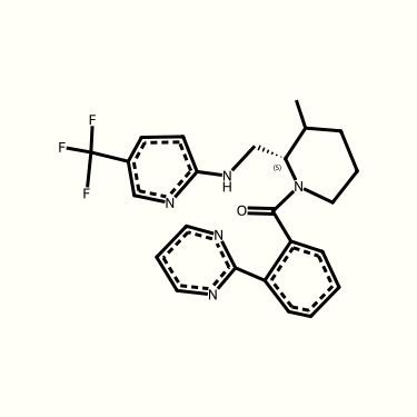 CC1CCCN(C(=O)c2ccccc2-c2ncccn2)[C@@H]1CNc1ccc(C(F)(F)F)cn1